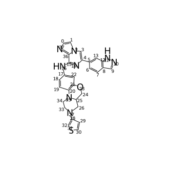 c1cn2cc(-c3ccc4cn[nH]c4c3)nc(Nc3ccc4c(c3)OCC3CN(c5ccsc5)CCN43)c2n1